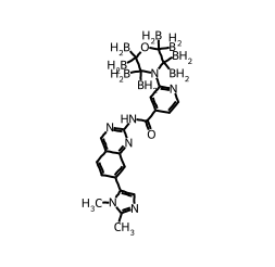 BC1(B)OC(B)(B)C(B)(B)N(c2cc(C(=O)Nc3ncc4ccc(-c5cnc(C)n5C)cc4n3)ccn2)C1(B)B